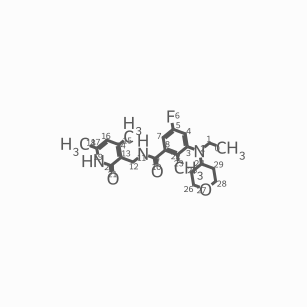 CCN(c1cc(F)cc(C(=O)NCc2c(C)cc(C)[nH]c2=O)c1C)C1CCOCC1